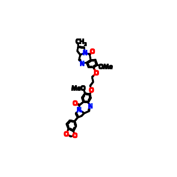 COc1cc2c(cc1OCCCOc1cc3c(cc1OC)C(=O)N1C=C(c4ccc5c(c4)OCO5)CC1C=N3)N=CC1CC(C)=CN1C2=O